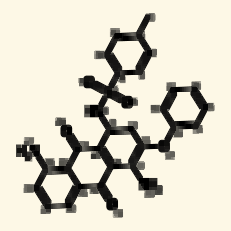 Cc1ccc(S(=O)(=O)Nc2cc(Oc3ccccc3)c(N)c3c2C(=O)c2c(N)cccc2C3=O)cc1